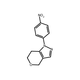 O=[N+]([O-])c1ccc(-n2ncc3c2CCOC3)cc1